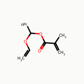 C=COC(CCC)OC(=O)C(=C)C